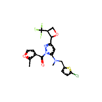 Cc1occc1C(=O)n1nc(C2OCC2C(F)(F)F)cc1N(C)Cc1ccc(Cl)s1